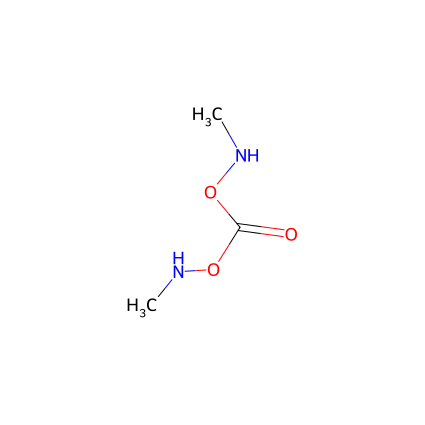 CNOC(=O)ONC